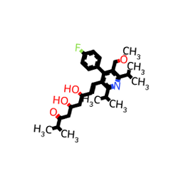 COCc1c(C(C)C)nc(C(C)C)c(/C=C/C(O)CC(O)CC(=O)C(C)C)c1-c1ccc(F)cc1